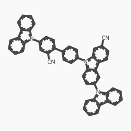 N#Cc1ccc2c3cc(-n4c5ccccc5c5ccccc54)ccc3n(-c3ccc(-c4ccc(-n5c6ccccc6c6ccccc65)cc4C#N)cc3)c2c1